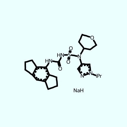 CC(C)n1cc(N(C2CCOCC2)S(=O)(=O)NC(=O)Nc2c3c(cc4c2CCC4)CCC3)cn1.[NaH]